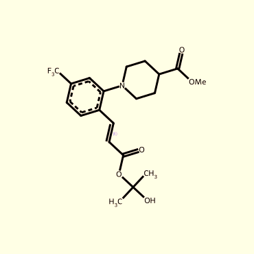 COC(=O)C1CCN(c2cc(C(F)(F)F)ccc2/C=C/C(=O)OC(C)(C)O)CC1